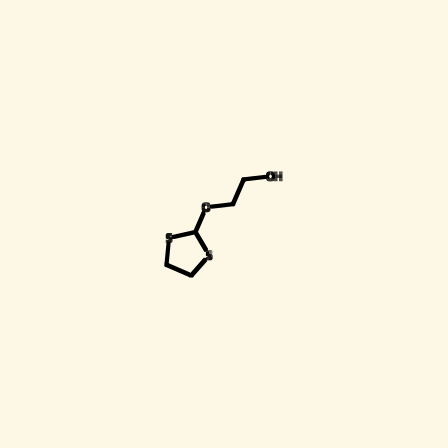 OCCOC1SCCS1